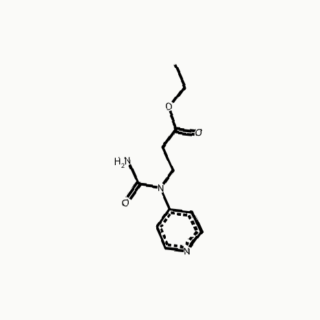 CCOC(=O)CCN(C(N)=O)c1ccncc1